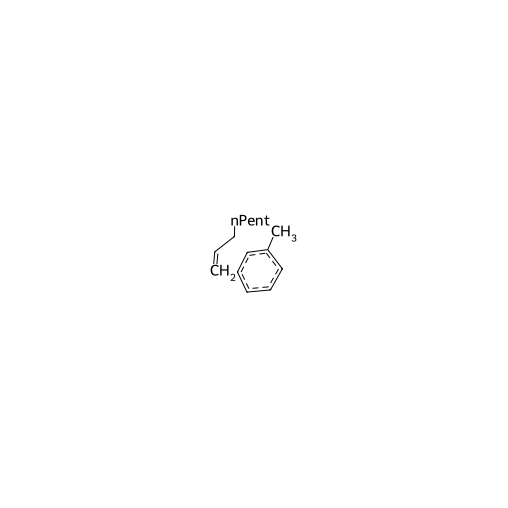 C=CCCCCCC.Cc1ccccc1